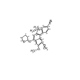 COc1cc2c(OC3CCCCO3)cc3c(c2cc1OC)-c1ccc(C#N)cc1C3(C)C